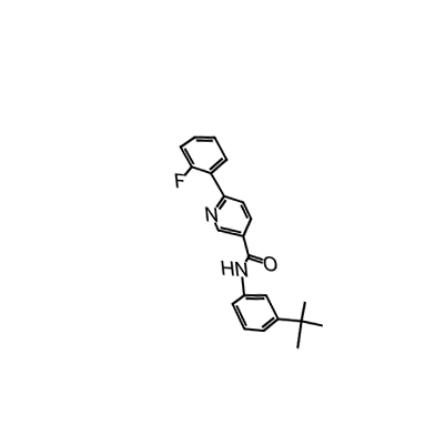 CC(C)(C)c1cccc(NC(=O)c2ccc(-c3ccccc3F)nc2)c1